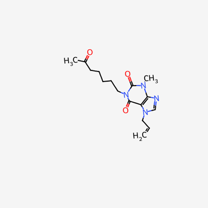 C=CCn1cnc2c1c(=O)n(CCCCCC(C)=O)c(=O)n2C